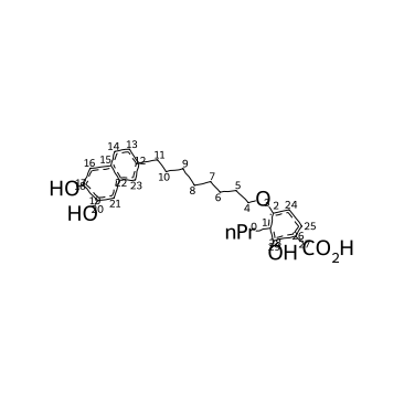 CCCc1c(OCCCCCCCCc2ccc3cc(O)c(O)cc3c2)ccc(C(=O)O)c1O